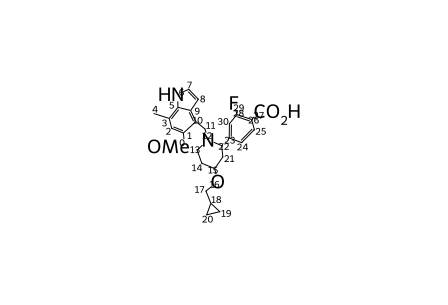 COc1cc(C)c2[nH]ccc2c1CN1CCC(OCC2CC2)C[C@H]1c1ccc(C(=O)O)c(F)c1